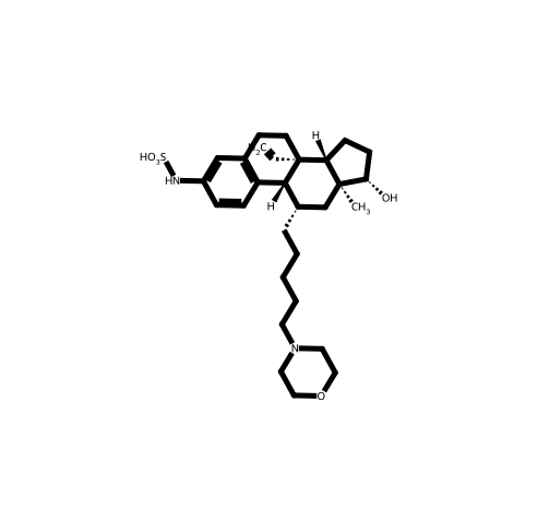 C=C[C@@]12CCc3cc(NS(=O)(=O)O)ccc3[C@H]1[C@@H](CCCCCN1CCOCC1)C[C@@]1(C)[C@H]2CC[C@@H]1O